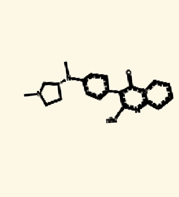 CCCCc1nc2ccccn2c(=O)c1-c1ccc(N(C)[C@@H]2CCN(C)C2)cc1